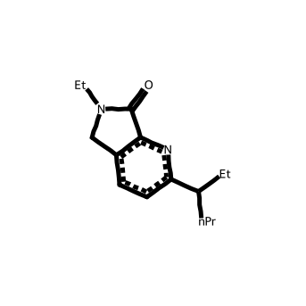 CCCC(CC)c1ccc2c(n1)C(=O)N(CC)C2